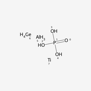 O=P(O)(O)O.[AlH3].[GeH4].[Ti]